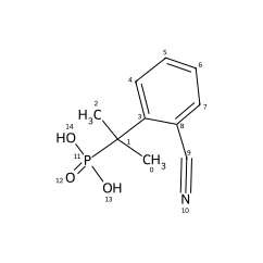 CC(C)(c1ccccc1C#N)P(=O)(O)O